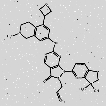 C=CCn1c(=O)c2cnc(Nc3cc4c(c(C5COC5)c3)CCN(C)C4)nc2n1-c1ccc2c(n1)C(C)(O)CC2